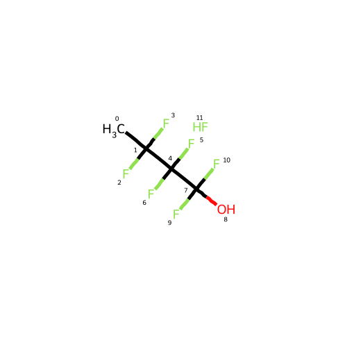 CC(F)(F)C(F)(F)C(O)(F)F.F